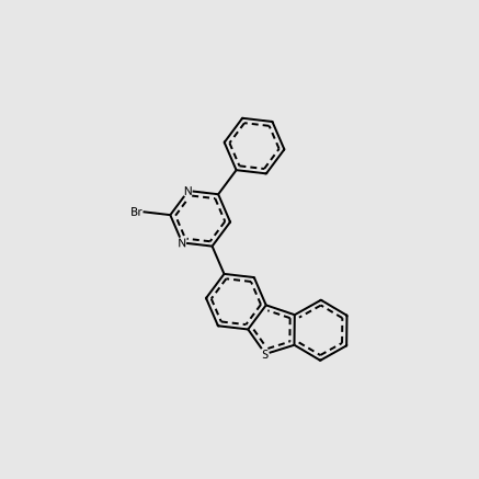 Brc1nc(-c2ccccc2)cc(-c2ccc3sc4ccccc4c3c2)n1